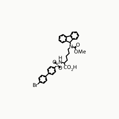 COC(=O)N(CCCCC(NS(=O)(=O)c1ccc(-c2ccc(Br)cc2)cc1)C(=O)O)C1c2ccccc2-c2ccccc21